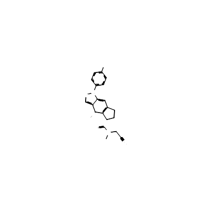 C[C@H]1C2=CNN(c3ccc(F)cc3)C2=CC2=C1[C@@H](C(=O)N(C)CC#N)CC2